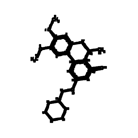 COc1cc2c(cc1OC)-c1cc(OCC3CCCCC3)cc(=O)n1C(C)C2